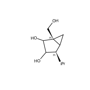 CC(C)[C@H]1C(O)C(O)[C@]2(CO)CC12